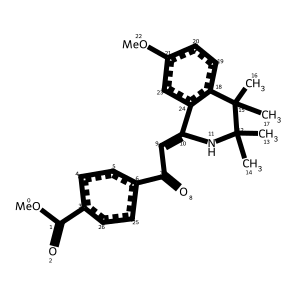 COC(=O)c1ccc(C(=O)C=C2NC(C)(C)C(C)(C)c3ccc(OC)cc32)cc1